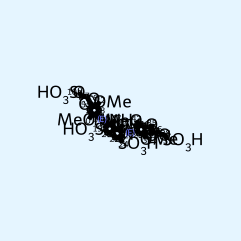 COc1cc(S(=O)(=O)CCOS(=O)(=O)O)c(OC)cc1/N=N/c1c(S(=O)(=O)O)cc2cc(S(=O)(=O)O)c(/N=N/c3cc(OC)c(S(=O)(=O)CCOS(=O)(=O)O)cc3OC)c(O)c2c1N